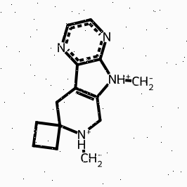 [CH2-][NH+]1C2=C(CC3(CCC3)[NH+]([CH2-])C2)c2nccnc21